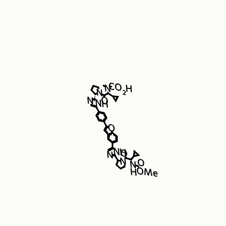 COC(=O)N[C@H](C(=O)N1CCCC1c1ncc(-c2ccc3oc(-c4ccc(-c5cnc([C@@H]6CCCN6C(=O)[C@H](C6CC6)N(C)C(=O)O)[nH]5)cc4)cc3c2)[nH]1)C1CC1